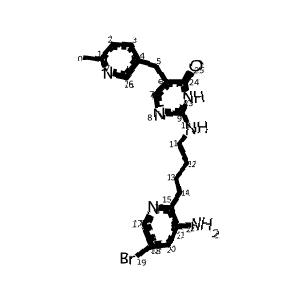 Cc1ccc(Cc2cnc(NCCCCc3ncc(Br)cc3N)[nH]c2=O)cn1